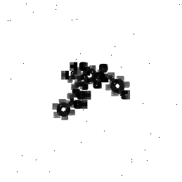 Cc1c(CN(O)CC(O)c2ccccc2)sc2c(=O)c(C(=O)NCc3ccc(Cl)cc3)cn(C)c12